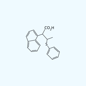 CC(Sc1ccccc1)C(C(=O)O)c1cccc2ccccc12